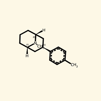 Cc1ccc([C@@H]2C[C@H]3CCC[C@@H](C2)N3C)cc1